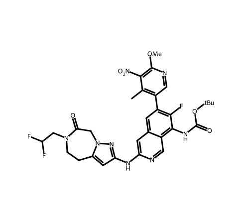 COc1ncc(-c2cc3cc(Nc4cc5n(n4)CC(=O)N(CC(F)F)CC5)ncc3c(NC(=O)OC(C)(C)C)c2F)c(C)c1[N+](=O)[O-]